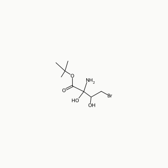 CC(C)(C)OC(=O)C(N)(O)C(O)CBr